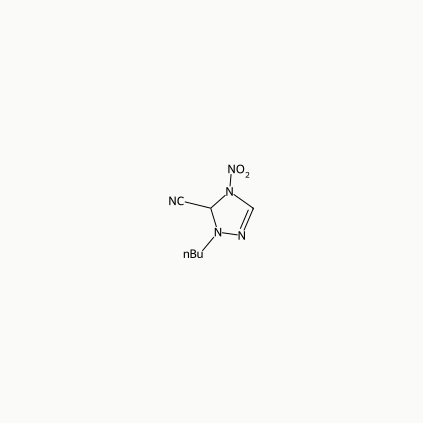 CCCCN1N=CN([N+](=O)[O-])C1C#N